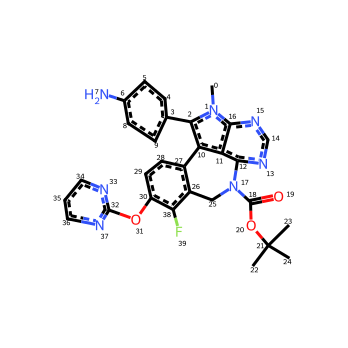 Cn1c(-c2ccc(N)cc2)c2c3c(ncnc31)N(C(=O)OC(C)(C)C)Cc1c-2ccc(Oc2ncccn2)c1F